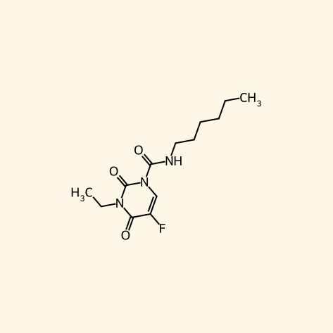 CCCCCCNC(=O)n1cc(F)c(=O)n(CC)c1=O